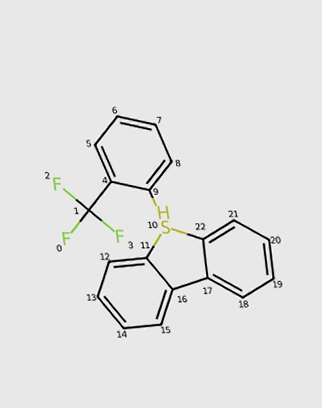 FC(F)(F)c1ccccc1[SH]1c2ccccc2-c2ccccc21